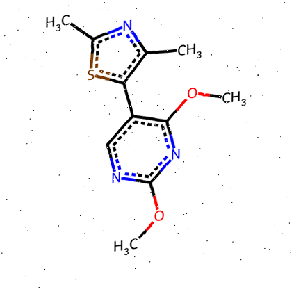 COc1ncc(-c2sc(C)nc2C)c(OC)n1